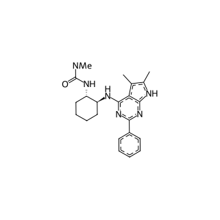 CNC(=O)N[C@H]1CCCC[C@@H]1Nc1nc(-c2ccccc2)nc2[nH]c(C)c(C)c12